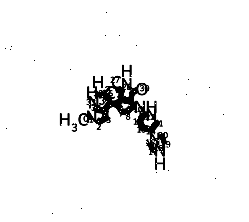 Cn1ccc2c(-c3ccc(Nc4ccc(N5CCNCC5)cn4)c4c3C(C)(C)NC4=O)ccnc21